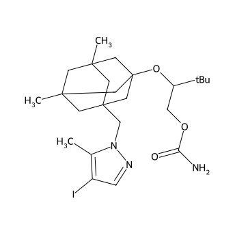 Cc1c(I)cnn1CC12CC3(C)CC(C)(C1)CC(OC(COC(N)=O)C(C)(C)C)(C3)C2